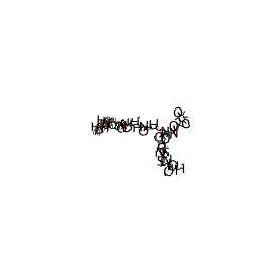 CC1=C(C)C(=O)C(C(C)(C)CC(=O)N(C)CCN(CCCCCC(=O)NCCCCC(NC(=O)CC[C@@H](C)[C@H]2CC[C@H]3[C@@H]4CC[C@@H]5C[C@H](C)CC[C@]5(C)[C@H]4C[C@H](O)[C@]23C)C(=O)O)C(=O)Oc2ccc3nc(C4=NC(C(=O)O)CS4)sc3c2)=C(C)C1=O